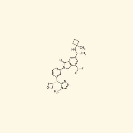 C[C@@H](NC1(C)CCC1)c1cc2c(c(C(F)F)c1)CN(c1cccc([C@H](c3nncn3C)C3COC3)c1)C2=O